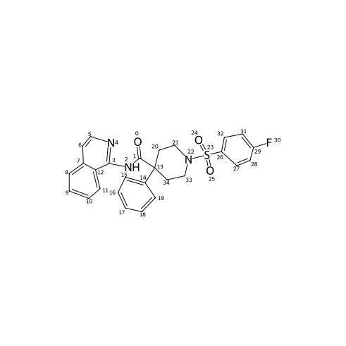 O=C(Nc1nccc2ccccc12)C1(c2ccccc2)CCN(S(=O)(=O)c2ccc(F)cc2)CC1